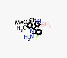 Bc1cc(C2(c3cc(C)c(OC)c(C)c3)N=C(N)c3c(F)cccc32)ccn1